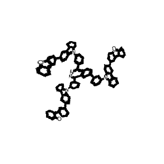 c1cc(-c2ccc3c(-c4cccc(-n5c6ccccc6c6cc(-c7ccc8oc9ccccc9c8c7)ccc65)c4)nnc(-c4cccc(-n5c6ccccc6c6cc(-c7ccc8oc9ccccc9c8c7)ccc65)c4)c3c2)cc(-n2c3ccccc3c3cc(-c4ccc5oc6ccccc6c5c4)ccc32)c1